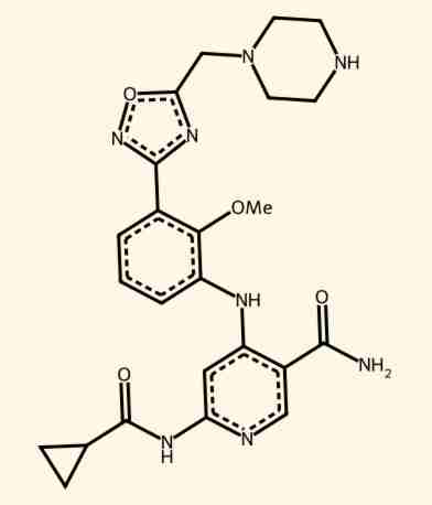 COc1c(Nc2cc(NC(=O)C3CC3)ncc2C(N)=O)cccc1-c1noc(CN2CCNCC2)n1